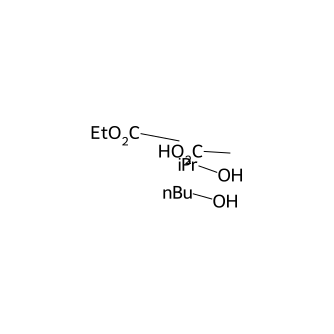 CC(=O)O.CC(C)O.CCCCO.CCOC(C)=O